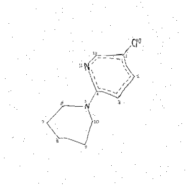 Clc1ccc(N2CC[CH]CC2)nc1